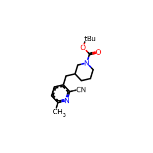 Cc1ccc(CC2CCCN(C(=O)OC(C)(C)C)C2)c(C#N)n1